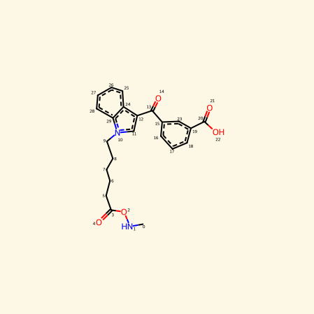 CNOC(=O)CCCCCn1cc(C(=O)c2cccc(C(=O)O)c2)c2ccccc21